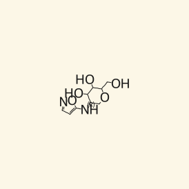 OCC1OC[C@@H](Nc2ccno2)C(O)C1O